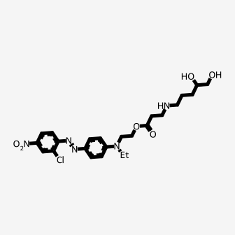 CCN(CCOC(=O)CCNCCCC(O)CO)c1ccc(/N=N/c2ccc([N+](=O)[O-])cc2Cl)cc1